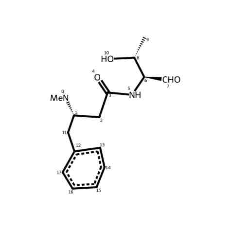 CN[C@H](CC(=O)N[C@H](C=O)[C@@H](C)O)Cc1ccccc1